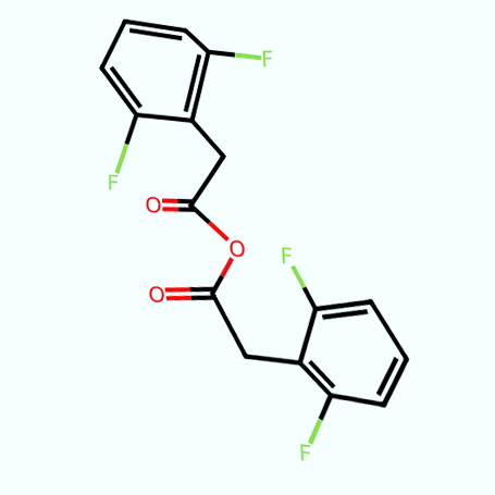 O=C(Cc1c(F)cccc1F)OC(=O)Cc1c(F)cccc1F